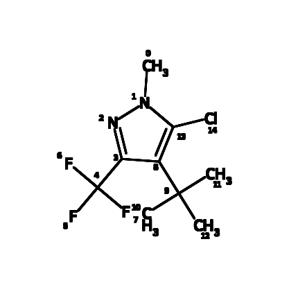 Cn1nc(C(F)(F)F)c(C(C)(C)C)c1Cl